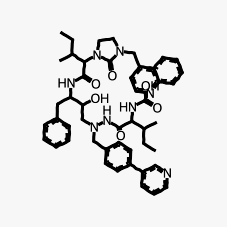 CCC(C)C(NC(=O)O)C(=O)NN(Cc1ccc(-c2cccnc2)cc1)CC(O)C(Cc1ccccc1)NC(=O)C(C(C)CC)N1CCN(Cc2ccnc3ccccc23)C1=O